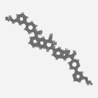 NCc1cccc(C2CCN(C(=O)c3cc4ccc(B5NC(=O)c6cc7c(C(=O)N8CCC(c9cccc(CN)c9)CC8)cccc7cc6O5)cc4[nH]3)CC2)c1